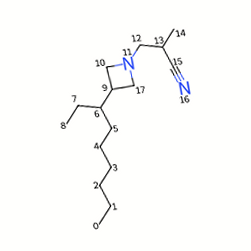 CCCCCCC(CC)C1CN(CC(C)C#N)C1